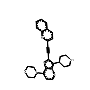 C(#Cc1nc2c(N3CCOCC3)ccnn2c1C1CCNCC1)c1ccc2ccccc2n1